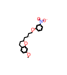 COc1ccc2c(c1)OC(C[CH]CCOc1cccc([N+](=O)[O-])c1)CC2